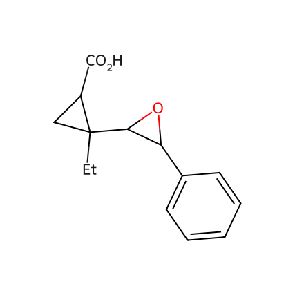 CCC1(C2OC2c2ccccc2)CC1C(=O)O